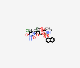 CC(C)OC(=O)[C@@H](C)N[P@](=O)(OC[C@H]1O[C@@H](n2cc(Cl)c(=O)[nH]c2=O)[C@](C)(Cl)[C@@H]1O)Oc1cccc2ccccc12